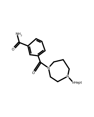 CCCCCCCN1CCCN(C(=O)c2cccc(C(N)=O)c2)CC1